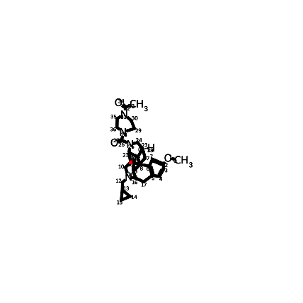 COc1ccc2c(c1)C13CCN(CC4CC4)C(C2)C12CCC1C3[C@@H](CN1C(=O)N1CCN(C(C)=O)CC1)C2